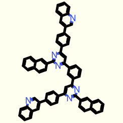 c1cc(-c2cc(-c3ccc(-c4cnc5ccccc5c4)cc3)nc(-c3ccc4ccccc4c3)n2)cc(-c2cc(-c3ccc(-c4cnc5ccccc5c4)cc3)nc(-c3ccc4ccccc4c3)n2)c1